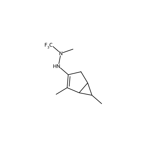 CC1=C(NN(C)C(F)(F)F)CC2C(C)C12